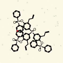 C=CCc1cc(P(=O)(c2ccc(OP(=O)(c3ccccc3)c3ccccc3)c(CC=C)c2)c2ccc(OP(=O)(c3ccccc3)c3ccccc3)c(CC=C)c2)ccc1OP(=O)(c1ccccc1)c1ccccc1